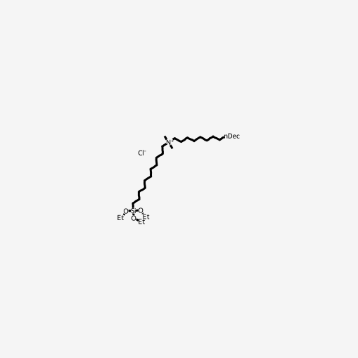 CCCCCCCCCCCCCCCCCC[N+](C)(C)CCCCCCCCCCC[Si](OCC)(OCC)OCC.[Cl-]